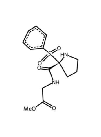 COC(=O)CNC(=O)[C@]1(S(=O)(=O)c2ccccc2)CCCN1